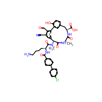 C[C@@H]1NC(=O)[C@@H](N(C)C(=O)[C@H](CCCCN)NC(=O)c2ccc(-c3ccc(Cl)cc3)cc2)c2cc(C#N)c(C=O)c(c2)-c2cc(ccc2O)C[C@@H](C(=O)O)NC1=O